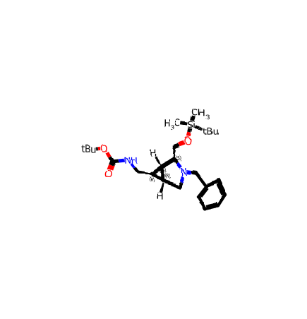 CC(C)(C)OC(=O)NC[C@@H]1[C@H]2CN(Cc3ccccc3)[C@H](CO[Si](C)(C)C(C)(C)C)[C@@H]12